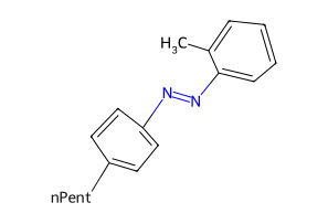 CCCCCc1ccc(N=Nc2ccccc2C)cc1